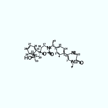 C[C@@H](c1ccc(-c2cn(C)c(=O)cn2)cc1)N1CC[C@](CC(C)(C)O)(c2ccccc2)OC1=O